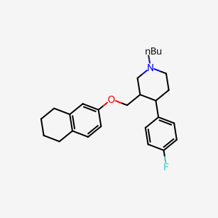 CCCCN1CCC(c2ccc(F)cc2)C(COc2ccc3c(c2)CCCC3)C1